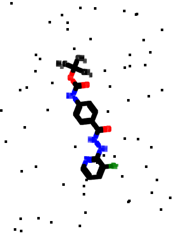 CC(C)(C)OC(=O)Nc1ccc(C(=O)NNc2ncccc2Br)cc1